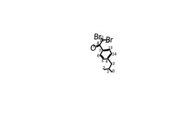 CC(C)Cc1ccc(C(=O)C(Br)Br)cc1